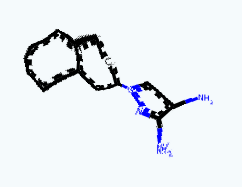 Nc1cn(-c2ccc3ccccc3c2)nc1N